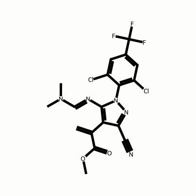 C=C(C(=O)OC)c1c(C#N)nn(-c2c(Cl)cc(C(F)(F)F)cc2Cl)c1/N=C/N(C)C